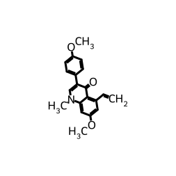 C=Cc1cc(OC)cc2c1c(=O)c(-c1ccc(OC)cc1)cn2C